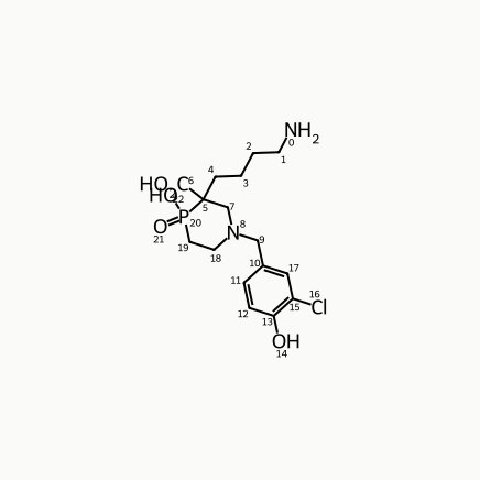 NCCCCC1(C(=O)O)CN(Cc2ccc(O)c(Cl)c2)CCP1(=O)O